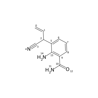 C=CC(C#N)c1cccc(C(N)=O)c1N